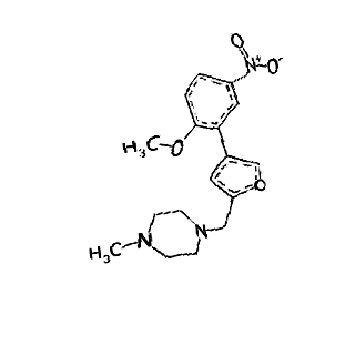 COc1ccc([N+](=O)[O-])cc1-c1coc(CN2CCN(C)CC2)c1